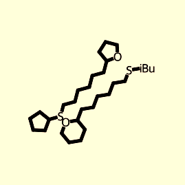 C(CCCC1CCCO1)CCSC1CCCC1.CCC(C)SCCCCCCC1CCCCO1